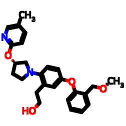 COCc1ccccc1Oc1ccc(N2CC[C@H](Oc3ccc(C)cn3)C2)c(CCO)c1